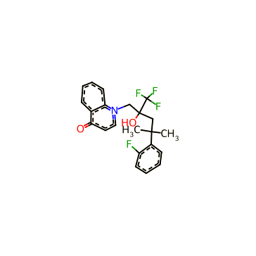 CC(C)(CC(O)(Cn1ccc(=O)c2ccccc21)C(F)(F)F)c1ccccc1F